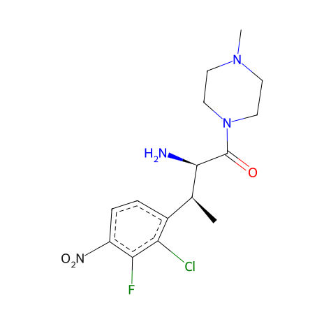 C[C@@H](c1ccc([N+](=O)[O-])c(F)c1Cl)[C@@H](N)C(=O)N1CCN(C)CC1